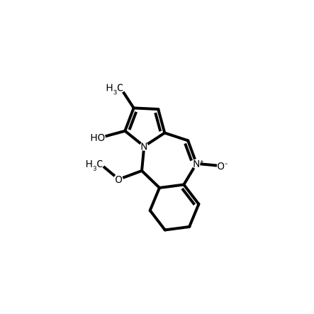 COC1C2CCCC=C2[N+]([O-])=Cc2cc(C)c(O)n21